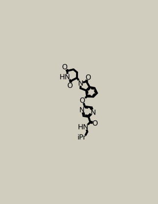 CC(C)CNC(=O)c1cnc(Oc2cccc3c2CN(C2CCC(=O)NC2=O)C3=O)cn1